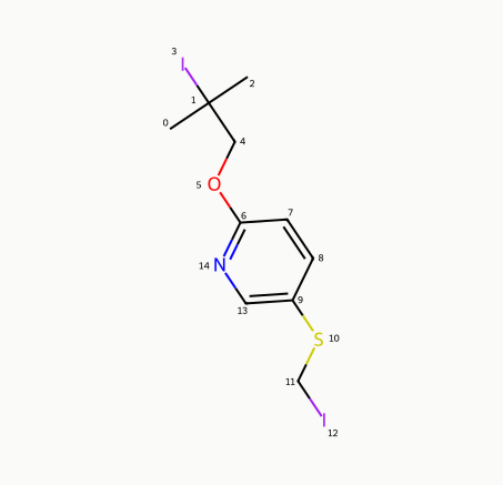 CC(C)(I)COc1ccc(SCI)cn1